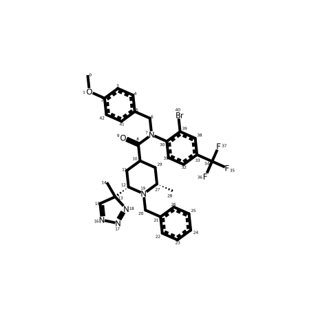 COc1ccc(CN(C(=O)C2C[C@@H](C3(C)C=NN=N3)N(Cc3ccccc3)[C@@H](C)C2)c2ccc(C(F)(F)F)cc2Br)cc1